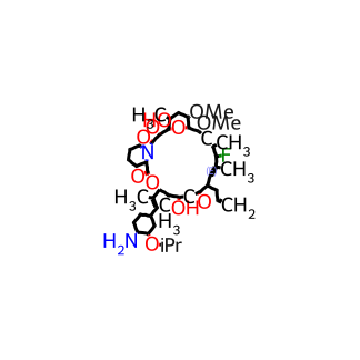 C=CCC1/C=C(\C)C(F)C(C)CC(OC)C2OC(O)(C(=O)C(=O)N3CCCCC3C(=O)OC(C(C)=CC3CCC(N)C(OC(C)C)C3)C(C)C(O)CC1=O)C(C)CC2OC